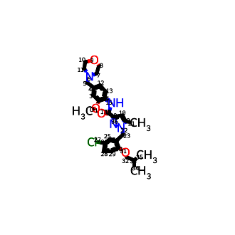 COc1cc(CN2CCOCC2)ccc1NC(=O)c1cc(C)n(Cc2cc(Cl)ccc2OCC(C)C)n1